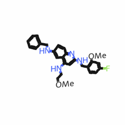 COCCNc1cc(NCc2ccc(F)cc2OC)nc2ccc(NCc3ccccc3)cc12